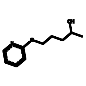 CC(O)CCCOc1ccccn1